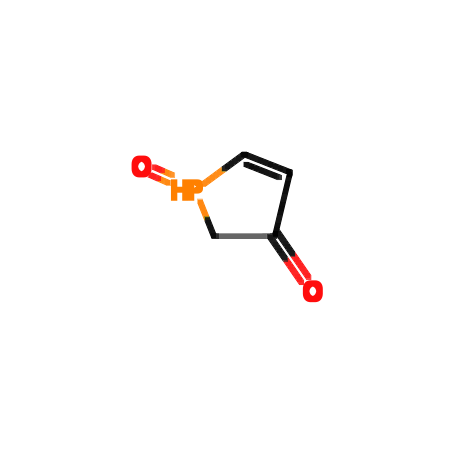 O=C1C=C[PH](=O)C1